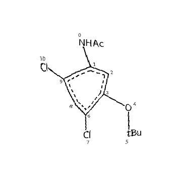 CC(=O)Nc1cc(OC(C)(C)C)c(Cl)cc1Cl